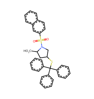 O=C(O)C1CC(SC(c2ccccc2)(c2ccccc2)c2ccccc2)CN1S(=O)(=O)c1ccc2ccccc2c1